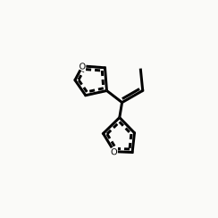 CC=C(c1ccoc1)c1ccoc1